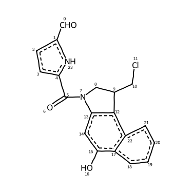 O=Cc1ccc(C(=O)N2CC(CCl)c3c2cc(O)c2ccccc32)[nH]1